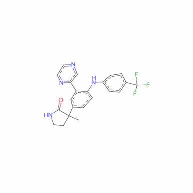 CC1(c2ccc(Nc3ccc(C(F)(F)F)cc3)c(-c3cnccn3)c2)CCNC1=O